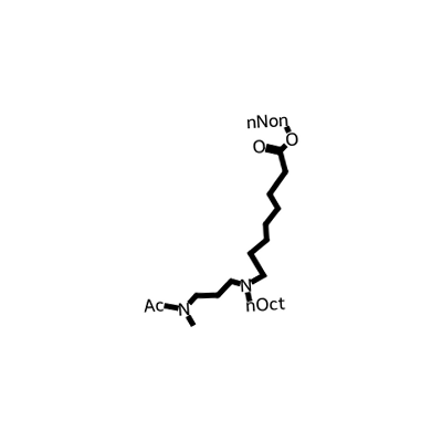 CCCCCCCCCOC(=O)CCCCCCCN(CCCCCCCC)CCCN(C)C(C)=O